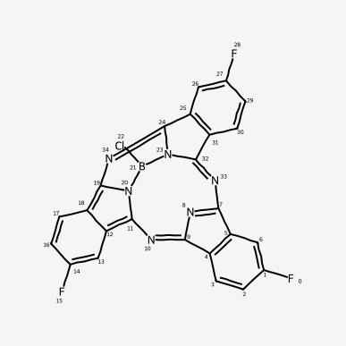 Fc1ccc2c(c1)C1=NC/2=N\c2c3cc(F)ccc3c3n2B(Cl)n2c(c4cc(F)ccc4/c2=N/1)=N3